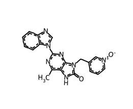 Cc1nc(-n2cnc3ccccc32)nc2c1[nH]c(=O)n2Cc1ccc[n+]([O-])c1